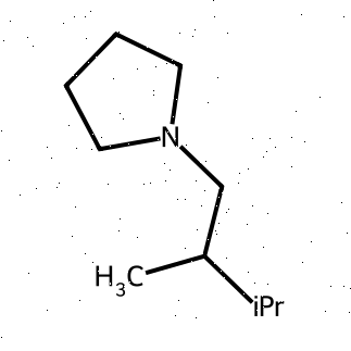 CC(C)C(C)CN1CCCC1